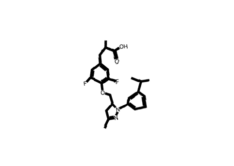 CC1=NN(c2cccc(C(C)C)c2)C(COc2c(F)cc(CC(C)C(=O)O)cc2F)C1